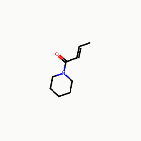 C/C=C/C(=O)N1CC[CH]CC1